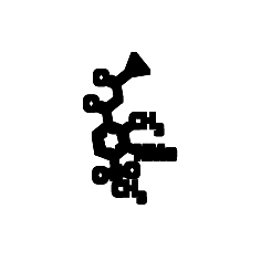 CNc1c(S(C)(=O)=O)ccc(C(=O)CC(=O)C2CC2)c1C